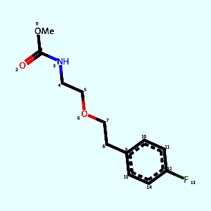 COC(=O)NCCOCCc1ccc(F)cc1